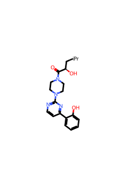 CC(C)C[C@@H](O)C(=O)N1CCN(c2nccc(-c3ccccc3O)n2)CC1